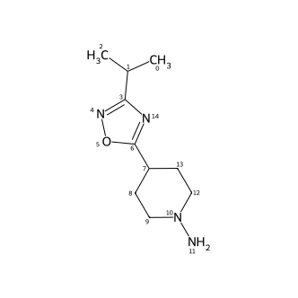 CC(C)c1noc(C2CCN(N)CC2)n1